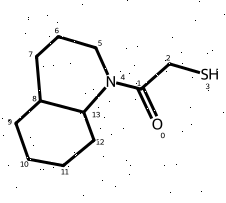 O=C(CS)N1CCCC2CCCCC21